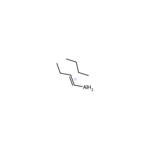 CC/C=[CH]/[AlH2].CCCC